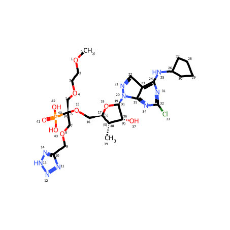 COCCOC[C@](COCc1nn[nH]n1)(OC[C@H]1O[C@@H](n2ncc3c(NC4CCCC4)nc(Cl)nc32)[C@H](O)[C@@H]1C)P(=O)(O)O